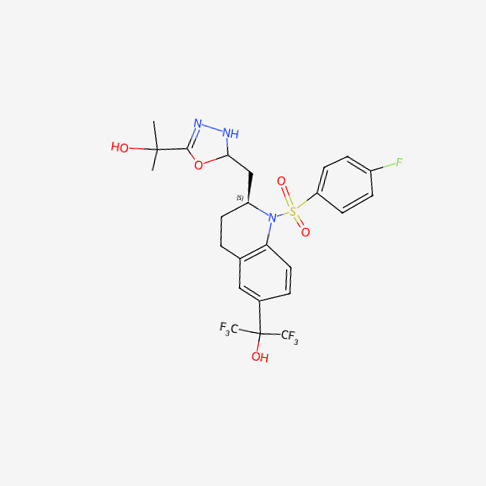 CC(C)(O)C1=NNC(C[C@@H]2CCc3cc(C(O)(C(F)(F)F)C(F)(F)F)ccc3N2S(=O)(=O)c2ccc(F)cc2)O1